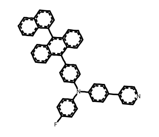 Fc1ccc(N(c2ccc(-c3ccncc3)cc2)c2ccc(-c3c4ccccc4c(-c4cccc5ccccc45)c4ccccc34)cc2)cc1